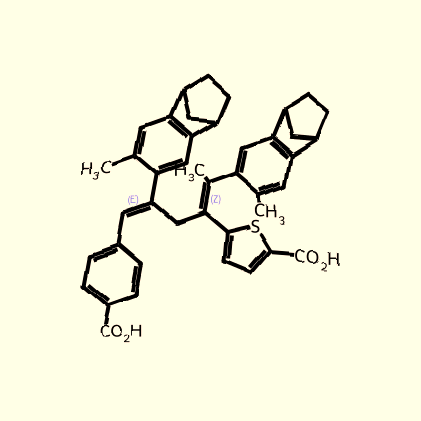 C/C(=C(\C/C(=C\c1ccc(C(=O)O)cc1)c1cc2c(cc1C)C1CCC2C1)c1ccc(C(=O)O)s1)c1cc2c(cc1C)C1CCC2C1